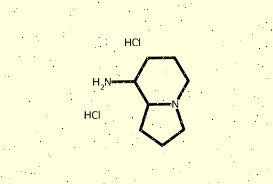 Cl.Cl.NC1CCCN2CCCC12